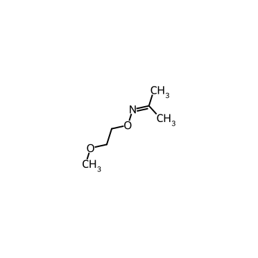 COCCON=C(C)C